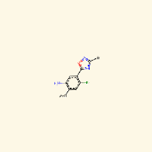 CCc1noc(-c2cc(N)c(OC)cc2Br)n1